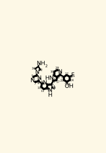 NC1CN(c2cncc(-c3ccc4[nH]nc(-c5cc6c(-c7cc(O)cc(F)c7)nccc6[nH]5)c4n3)n2)C1